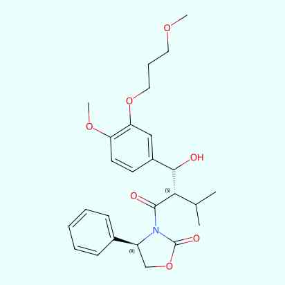 COCCCOc1cc(C(O)[C@@H](C(=O)N2C(=O)OC[C@H]2c2ccccc2)C(C)C)ccc1OC